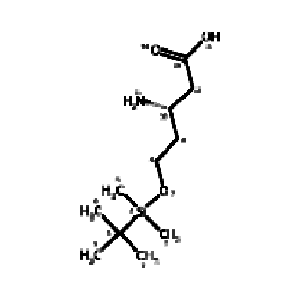 CC(C)(C)[Si](C)(C)OCC[C@H](N)CC(=O)O